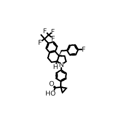 CC(F)(c1ccc2c(c1)CC[C@H]1N(c3ccc(C4(C(=O)O)CC4)cc3)CC[C@@]21Cc1ccc(F)cc1)C(F)(F)F